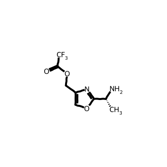 C[C@@H](N)c1nc(COC(=O)C(F)(F)F)co1